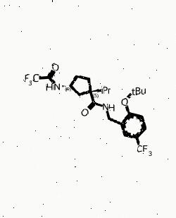 CC(C)[C@]1(C(=O)NCc2cc(C(F)(F)F)ccc2OC(C)(C)C)CC[C@@H](NC(=O)C(F)(F)F)C1